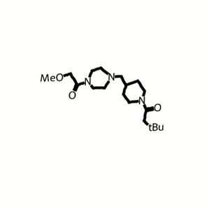 COCC(=O)N1CCN(CC2CCN(C(=O)CC(C)(C)C)CC2)CC1